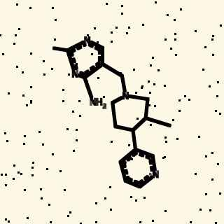 Cc1ncc(CN2CCC(c3cccnc3)C(C)C2)c(N)n1